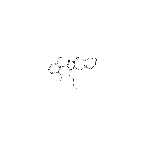 CCc1cccc(CC)c1-c1nc(Cl)c(CN2[C@H](C)COC[C@@H]2C)n1CCOC